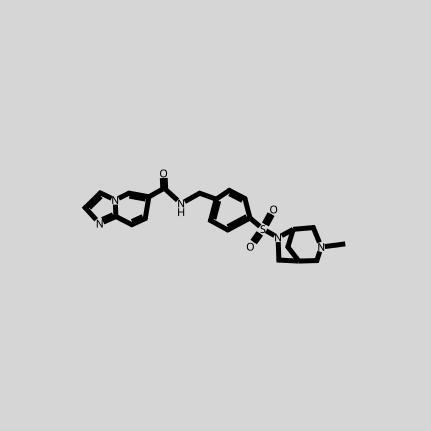 CN1CC2CC(C1)N(S(=O)(=O)c1ccc(CNC(=O)c3ccc4nccn4c3)cc1)C2